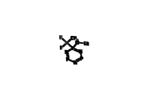 CCOP1(C(F)(F)C(F)(F)F)=NP=NP=N1